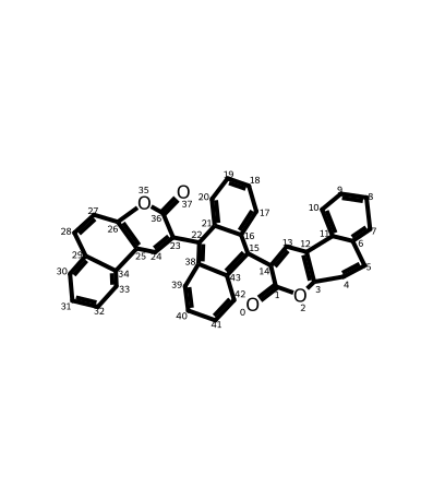 O=c1oc2ccc3ccccc3c2cc1-c1c2ccccc2c(-c2cc3c(ccc4ccccc43)oc2=O)c2ccccc12